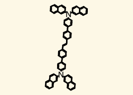 C(=C\c1ccc(-c2ccc(N(c3ccc4ccccc4c3)c3ccc4ccccc4c3)cc2)cc1)/c1ccc(-c2ccc(N(c3ccc4ccccc4c3)c3ccc4ccccc4c3)cc2)cc1